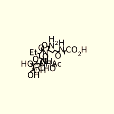 CCC(C(=O)NC(CCC(=O)NC(C)C(=O)O)C(N)=O)C(O[C@@H]([C@H](O)[C@H](O)CO)[C@H](C=O)NC(C)=O)C(N)=O